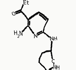 CCC(=O)c1ccc(NC2CCCNC2)nc1N